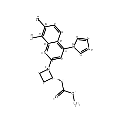 COC(=O)C[C@@H]1CCN1c1cc(-n2ccnc2)c2ccc(Cl)c(Cl)c2n1